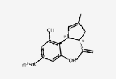 C=C(C)[C@H]1CC(C)=C[C@@H]1c1c(O)cc(CCCCC)cc1O